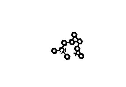 CC1(C)c2ccccc2-c2cc(-c3cccc4c5ccccc5c5cc(-c6cccc(-c7cc(-c8ccccc8)nc(-c8ccccc8)n7)c6)ccc5c34)ccc21